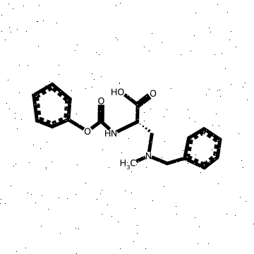 CN(Cc1ccccc1)C[C@H](NC(=O)Oc1ccccc1)C(=O)O